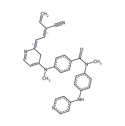 C=C/C(C#N)=C\C=C1/CC(N(C)c2ccc(C(=O)N(C)c3ccc(Nc4ccncc4)cc3)cc2)=CC=N1